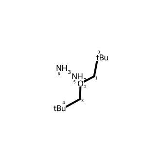 CC(C)(C)COCC(C)(C)C.N.N